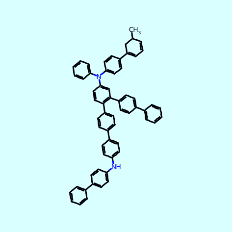 CC1C=CC=C(c2ccc(N(c3ccccc3)c3ccc(-c4ccc(-c5ccc(Nc6ccc(-c7ccccc7)cc6)cc5)cc4)c(-c4ccc(-c5ccccc5)cc4)c3)cc2)C1